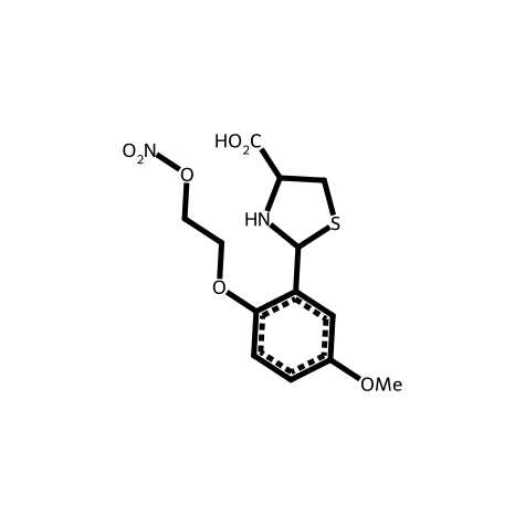 COc1ccc(OCCO[N+](=O)[O-])c(C2NC(C(=O)O)CS2)c1